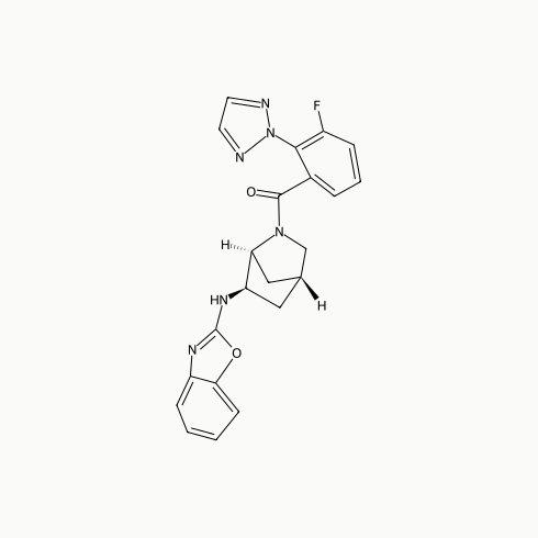 O=C(c1cccc(F)c1-n1nccn1)N1C[C@@H]2C[C@@H](Nc3nc4ccccc4o3)[C@@H]1C2